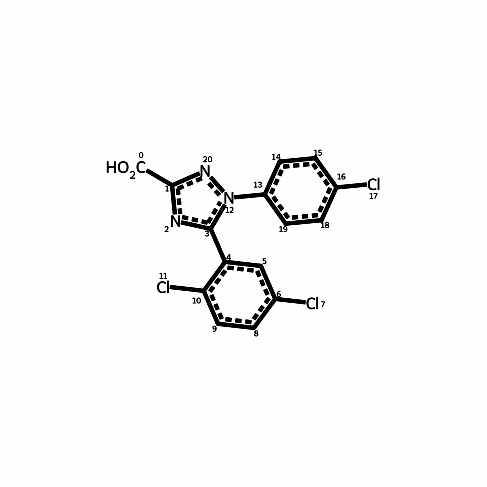 O=C(O)c1nc(-c2cc(Cl)ccc2Cl)n(-c2ccc(Cl)cc2)n1